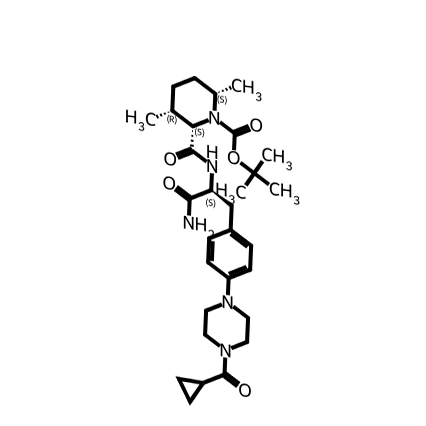 C[C@@H]1CC[C@H](C)N(C(=O)OC(C)(C)C)[C@@H]1C(=O)N[C@@H](Cc1ccc(N2CCN(C(=O)C3CC3)CC2)cc1)C(N)=O